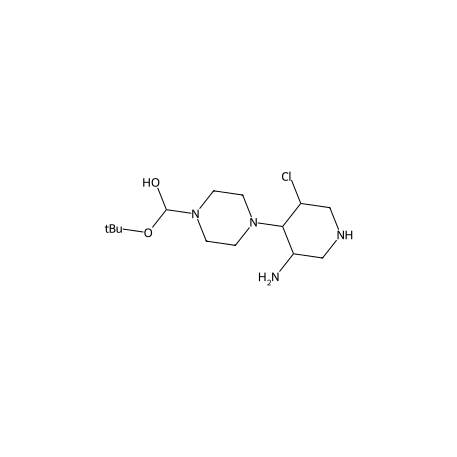 CC(C)(C)OC(O)N1CCN(C2C(N)CNCC2Cl)CC1